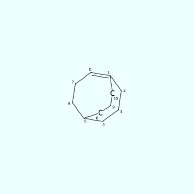 C1=C2CCCC(CC1)CCC2